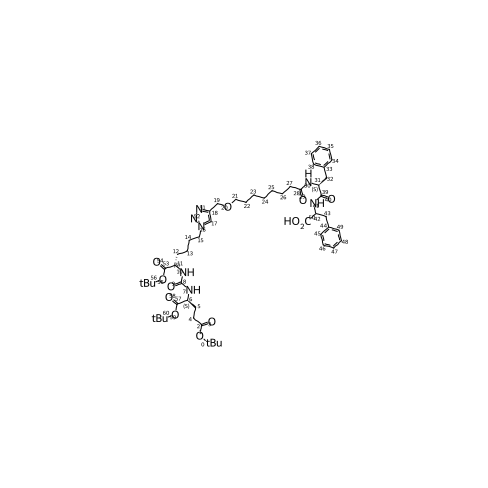 CC(C)(C)OC(=O)CC[C@H](NC(=O)N[C@@H](CCCCn1cc(COCCCCCCCC(=O)N[C@@H](Cc2ccccc2)C(=O)NC(Cc2ccccc2)C(=O)O)nn1)C(=O)OC(C)(C)C)C(=O)OC(C)(C)C